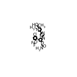 CC(C)(O)c1ccc(-c2cn3c4c(nc3cn2)[C@H](OCC(N)=O)C[C@@H]4c2cc(Cl)ccc2OC(F)F)cn1